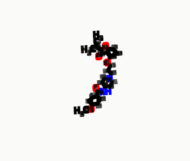 COc1ccc(C(=O)NC2CCN(CCCOc3cccc4c3C(=O)C(=C(C)C)O4)CC2)cc1